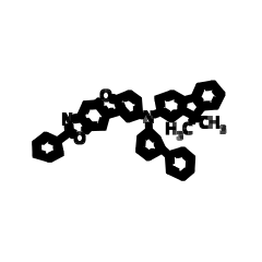 CC1(C)c2ccccc2-c2ccc(N(c3cccc(-c4ccccc4)c3)c3ccc4oc5cc6nc(-c7ccccc7)oc6cc5c4c3)cc21